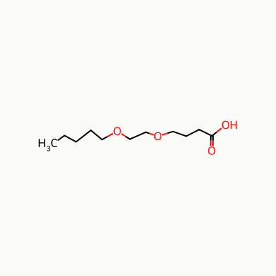 CCCCCOCCOCCCC(=O)O